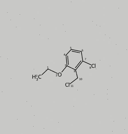 CCOc1cccc(Cl)c1CCl